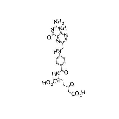 Nc1nc(=O)c2nc(CNc3ccc(C(=O)N[C@@H](CCC(=O)CC(=O)O)C(=O)O)cc3)cnc2[nH]1